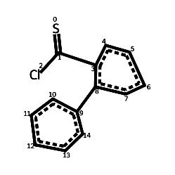 S=C(Cl)c1ccccc1-c1ccccc1